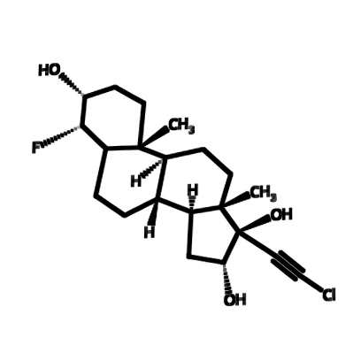 C[C@]12CC[C@@H](O)[C@@H](F)C1CC[C@@H]1[C@@H]2CC[C@@]2(C)[C@H]1C[C@@H](O)[C@@]2(O)C#CCl